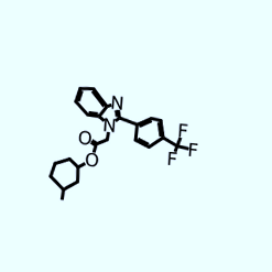 CC1CCCC(OC(=O)Cn2c(-c3ccc(C(F)(F)F)cc3)nc3ccccc32)C1